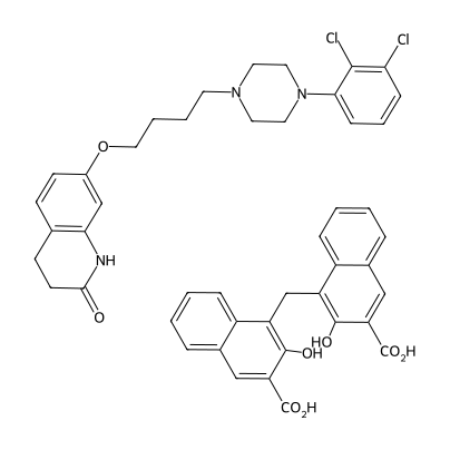 O=C(O)c1cc2ccccc2c(Cc2c(O)c(C(=O)O)cc3ccccc23)c1O.O=C1CCc2ccc(OCCCCN3CCN(c4cccc(Cl)c4Cl)CC3)cc2N1